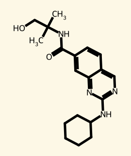 CC(C)(CO)NC(=O)c1ccc2cnc(NC3CCCCC3)nc2c1